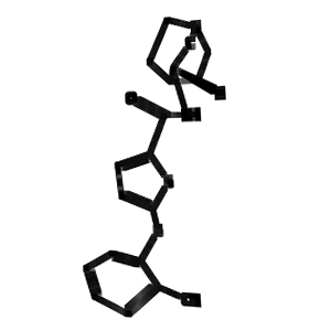 N#Cc1ccccc1Sc1ccc(C(=O)N[C@H]2CN3CCC2CC3)s1